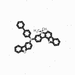 C[Si]1(C)c2cc(N(c3ccc(-c4ccccc4)cc3)c3ccc4oc5ccccc5c4c3)ccc2-c2c1ccc1c2sc2ccccc21